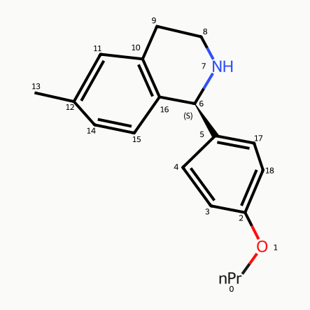 CCCOc1ccc([C@@H]2NCCc3cc(C)ccc32)cc1